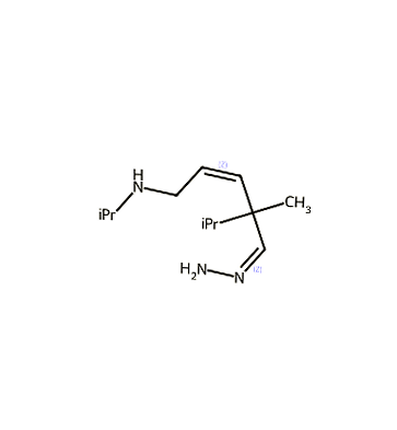 CC(C)NC/C=C\C(C)(/C=N\N)C(C)C